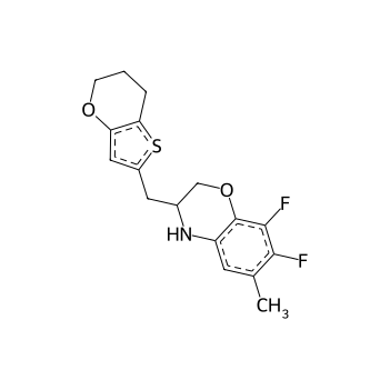 Cc1cc2c(c(F)c1F)OCC(Cc1cc3c(s1)CCCO3)N2